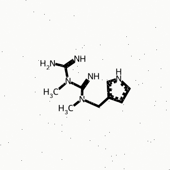 CN(Cc1cc[nH]c1)C(=N)N(C)C(=N)N